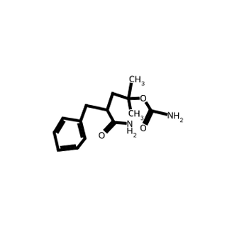 CC(C)(CC(Cc1ccccc1)C(N)=O)OC(N)=O